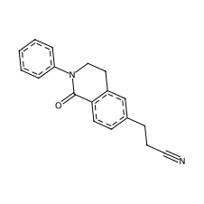 N#CCCc1ccc2c(c1)CCN(c1ccccc1)C2=O